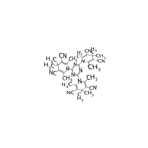 CC1=C(C#N)C(C)(C)C(C#N)=C(C)N1c1nc(N2C(C)=C(C#N)C(C)(C)C(C#N)=C2C)nc(N2C(C)=C(C#N)C(C)(C)C(C#N)=C2C)n1